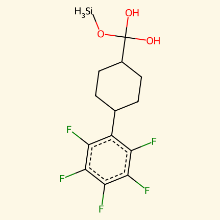 OC(O)(O[SiH3])C1CCC(c2c(F)c(F)c(F)c(F)c2F)CC1